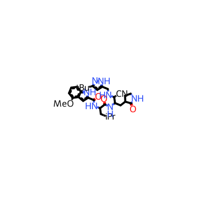 COc1cccc2[nH]c(C(=O)NC(CC(C)C)C(=O)NC(CC3CCNC3=O)C(C#N)NCc3cc(C(C)(C)C)n[nH]3)cc12